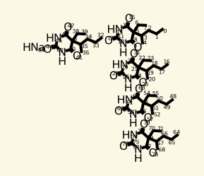 CCCC(C)C1(CC)C(=O)NC(=O)NC1=O.CCCC(C)C1(CC)C(=O)NC(=O)NC1=O.CCCC(C)C1(CC)C(=O)NC(=O)NC1=O.CCCC(C)C1(CC)C(=O)NC(=O)NC1=O.CCCC(C)C1(CC)C(=O)NC(=O)NC1=O.[NaH]